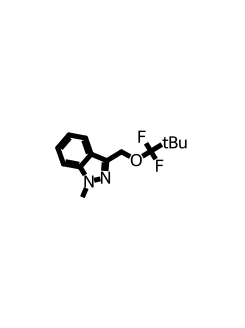 Cn1nc(COC(F)(F)C(C)(C)C)c2ccccc21